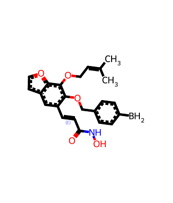 Bc1ccc(COc2c(/C=C/C(=O)NO)cc3ccoc3c2OCC=C(C)C)cc1